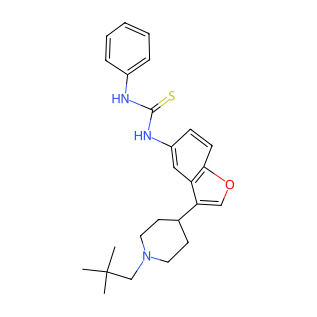 CC(C)(C)CN1CCC(c2coc3ccc(NC(=S)Nc4ccccc4)cc23)CC1